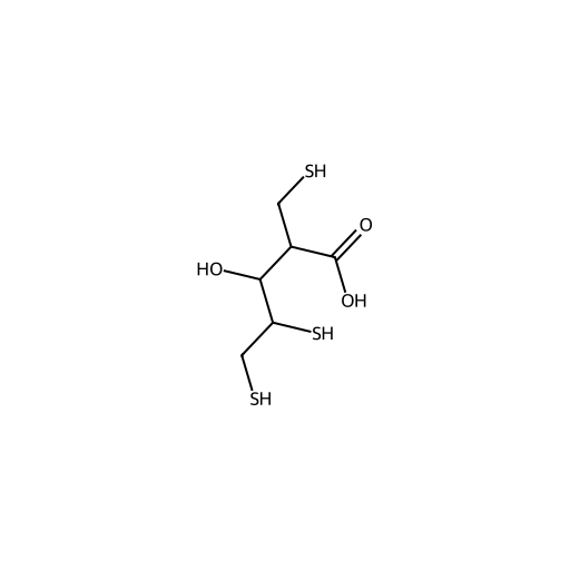 O=C(O)C(CS)C(O)C(S)CS